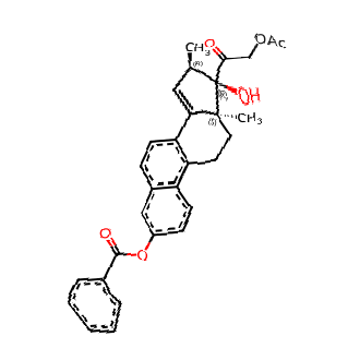 CC(=O)OCC(=O)[C@@]1(O)[C@H](C)C=C2c3ccc4cc(OC(=O)c5ccccc5)ccc4c3CC[C@@]21C